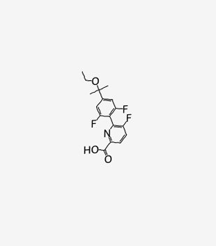 CCOC(C)(C)c1cc(F)c(-c2nc(C(=O)O)ccc2F)c(F)c1